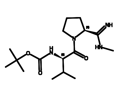 CNC(=N)[C@@H]1CCCN1C(=O)[C@@H](NC(=O)OC(C)(C)C)C(C)C